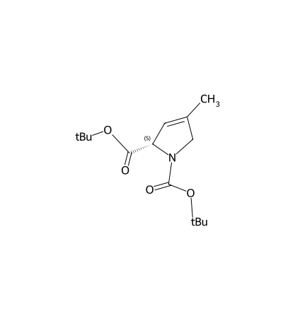 CC1=C[C@@H](C(=O)OC(C)(C)C)N(C(=O)OC(C)(C)C)C1